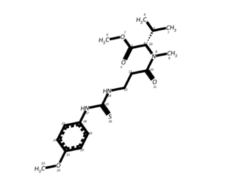 COC(=O)[C@H](C(C)C)N(C)C(=O)CCNC(=S)Nc1ccc(OC)cc1